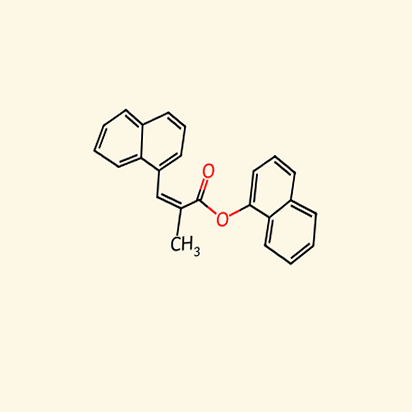 CC(=Cc1cccc2ccccc12)C(=O)Oc1cccc2ccccc12